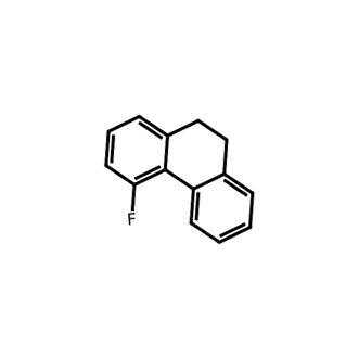 Fc1cccc2c1-c1ccccc1CC2